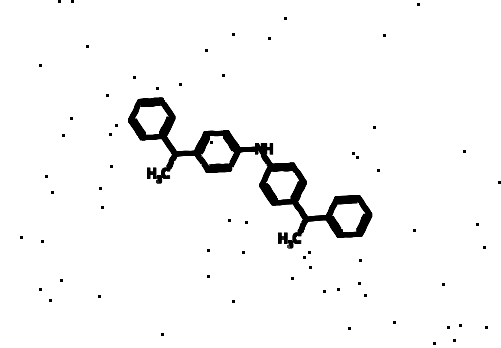 CC(c1ccccc1)c1ccc(Nc2ccc(C(C)c3ccccc3)cc2)cc1